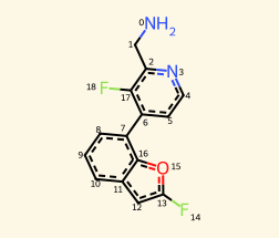 NCc1nccc(-c2cccc3cc(F)oc23)c1F